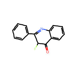 O=C1c2ccccc2N=C(c2ccccc2)C1F